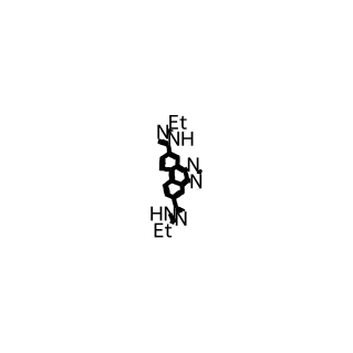 CCc1ncc(-c2ccc3c4ccc(-c5cnc(CC)[nH]5)cc4c4c(ncn4C)c3c2)[nH]1